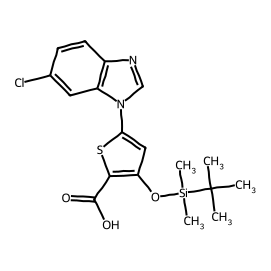 CC(C)(C)[Si](C)(C)Oc1cc(-n2cnc3ccc(Cl)cc32)sc1C(=O)O